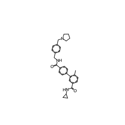 Cc1ccc(C(=O)NC2CC2)cc1-c1ccc(C(=O)NCc2ccc(CN3CCCC3)cc2)cc1